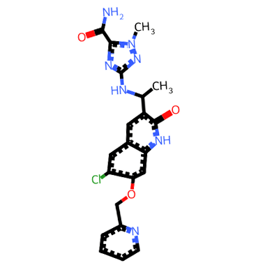 CC(Nc1nc(C(N)=O)n(C)n1)c1cc2cc(Cl)c(OCc3ccccn3)cc2[nH]c1=O